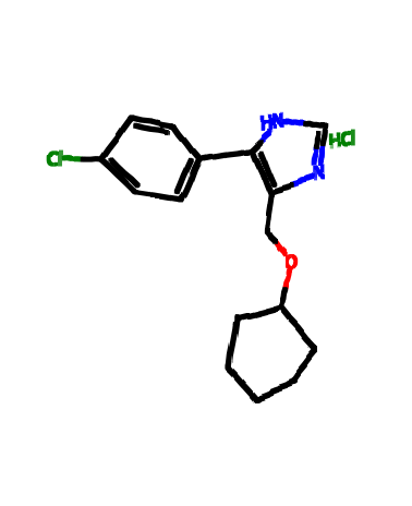 Cl.Clc1ccc(-c2[nH]cnc2COC2CCCCC2)cc1